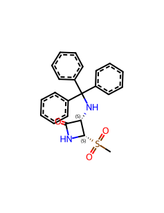 CS(=O)(=O)[C@@H]1NC(=O)[C@@H]1NC(c1ccccc1)(c1ccccc1)c1ccccc1